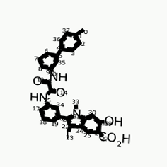 Cc1ccc(-c2cccc(NC(=O)C(=O)Nc3cccc(-c4c(I)c5cc(C(=O)O)c(O)cc5n4C)c3)c2)cc1